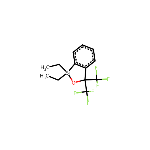 CC[Si]1(CC)OC(C(F)(F)F)(C(F)(F)F)c2ccccc21